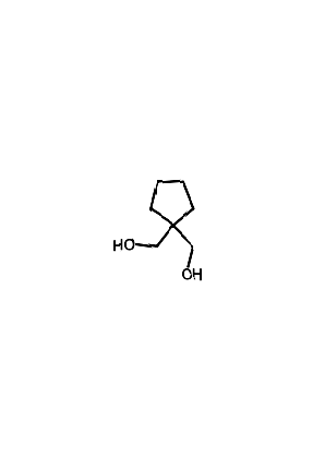 OCC1(CO)CCCC1